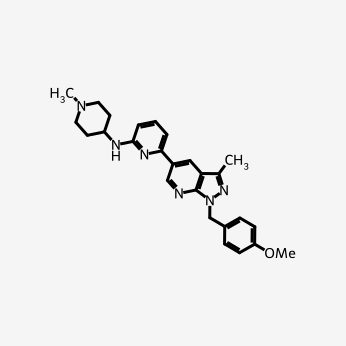 COc1ccc(Cn2nc(C)c3cc(-c4cccc(NC5CCN(C)CC5)n4)cnc32)cc1